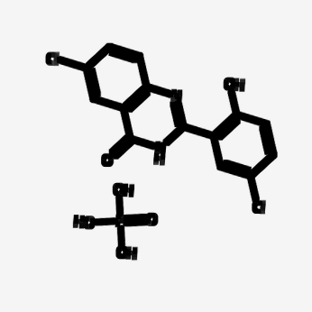 O=P(O)(O)O.O=c1[nH]c(-c2cc(Cl)ccc2O)nc2ccc(Cl)cc12